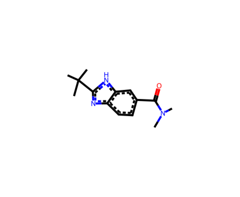 CN(C)C(=O)c1ccc2nc(C(C)(C)C)[nH]c2c1